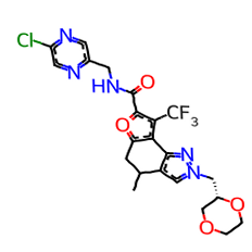 CC1Cc2oc(C(=O)NCc3cnc(Cl)cn3)c(C(F)(F)F)c2-c2nn(C[C@H]3COCCO3)cc21